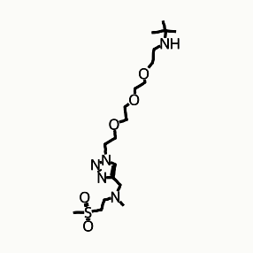 CN(CCS(C)(=O)=O)Cc1cn(CCOCCOCCOCCNC(C)(C)C)nn1